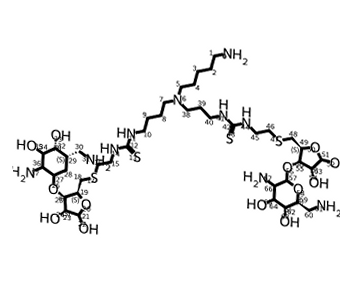 NCCCCCN(CCCCNC(=S)NCCSC[C@H]1OC(O)[C@@H](O)[C@H]1OC1C[C@@H](CN)[C@@H](O)C(O)C1N)CCCNC(=S)NCCSC[C@H]1OC(O)[C@@H](O)[C@H]1OC1O[C@@H](CN)[C@@H](O)C(O)C1N